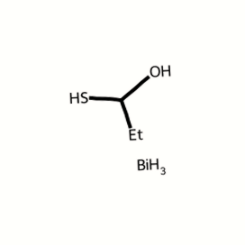 CCC(O)S.[BiH3]